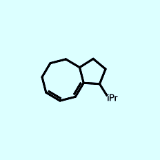 CC(C)C1CCC2CCC/C=C\C=C/21